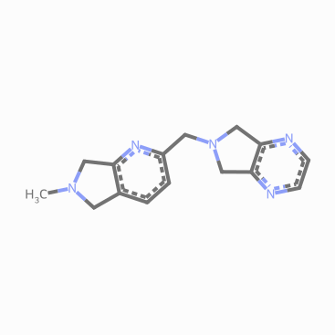 CN1Cc2ccc(CN3Cc4nccnc4C3)nc2C1